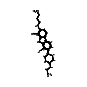 CCCCOc1ccc2c(c1F)Cc1c-2ccc(C2CCC(CCC)CC2)c1F